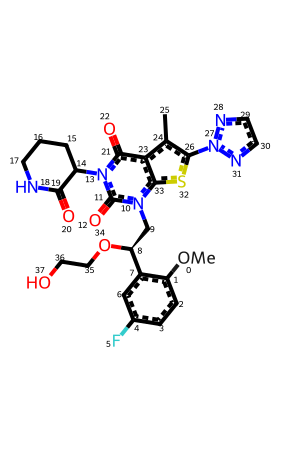 COc1ccc(F)cc1[C@H](Cn1c(=O)n(C2CCCNC2=O)c(=O)c2c(C)c(-n3nccn3)sc21)OCCO